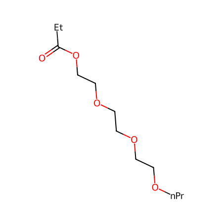 CCCOCCOCCOCCOC(=O)CC